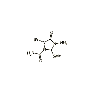 CSC1N(N)C(=O)N(C(C)C)N1C(N)=O